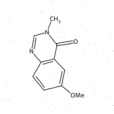 COc1ccc2ncn(C)c(=O)c2c1